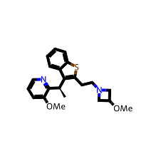 COc1cccnc1[C@H](C)c1c(CCN2CC(OC)C2)sc2ccccc12